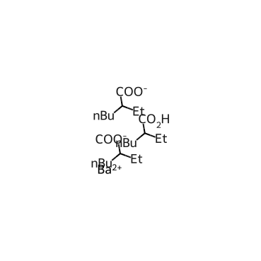 CCCCC(CC)C(=O)O.CCCCC(CC)C(=O)[O-].CCCCC(CC)C(=O)[O-].[Ba+2]